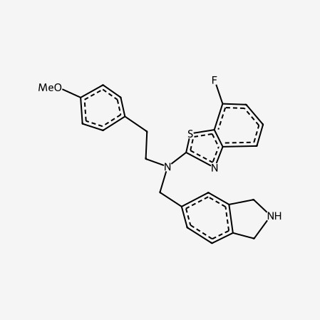 COc1ccc(CCN(Cc2ccc3c(c2)CNC3)c2nc3cccc(F)c3s2)cc1